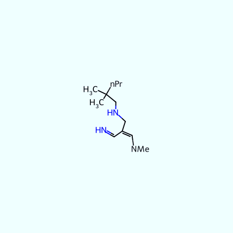 CCCC(C)(C)CNC/C(C=N)=C/NC